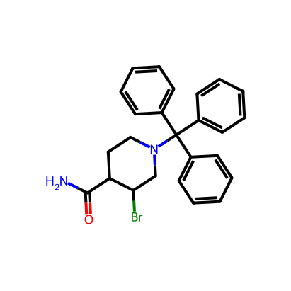 NC(=O)C1CCN(C(c2ccccc2)(c2ccccc2)c2ccccc2)CC1Br